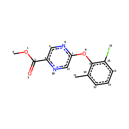 COC(=O)c1cnc(Oc2c(C)cccc2F)cn1